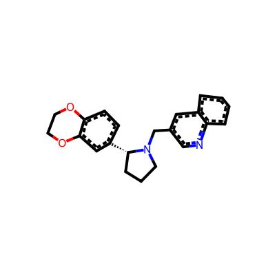 c1ccc2ncc(CN3CCC[C@@H]3c3ccc4c(c3)OCCO4)cc2c1